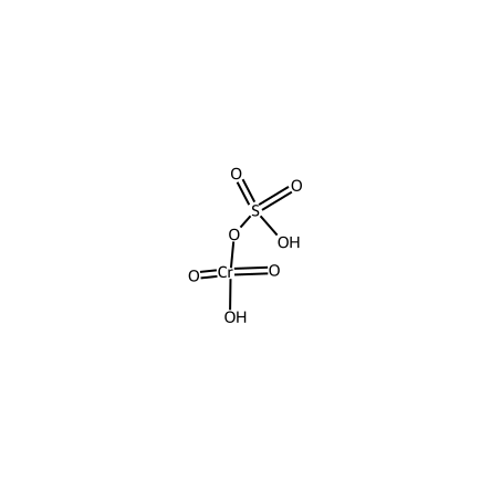 O=S(=O)(O)[O][Cr](=[O])(=[O])[OH]